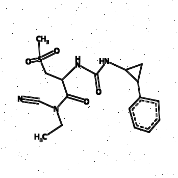 CCN(C#N)C(=O)C(CS(C)(=O)=O)NC(=O)NC1CC1c1ccccc1